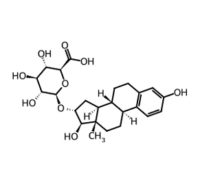 C[C@]12CC[C@@H]3c4ccc(O)cc4CC[C@H]3[C@@H]1C[C@@H](O[C@@H]1O[C@H](C(=O)O)[C@@H](O)[C@H](O)[C@H]1O)[C@@H]2O